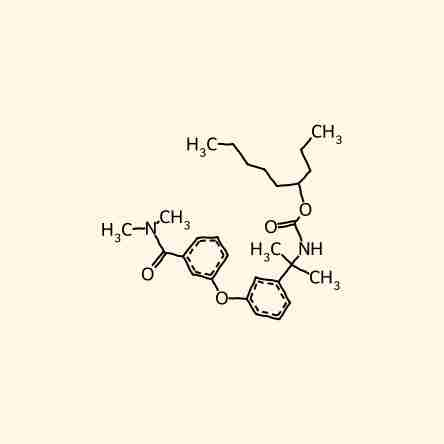 CCCCCC(CCC)OC(=O)NC(C)(C)c1cccc(Oc2cccc(C(=O)N(C)C)c2)c1